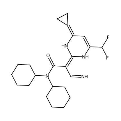 N=C/C(C(=O)N(C1CCCCC1)C1CCCCC1)=C1\NC(C(F)F)=CC(=C2CC2)N1